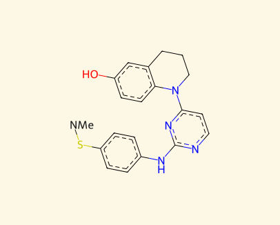 CNSc1ccc(Nc2nccc(N3CCCc4cc(O)ccc43)n2)cc1